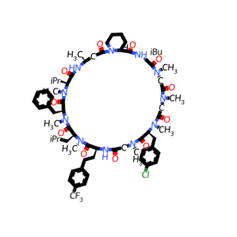 CC[C@H](C)[C@@H]1NC(=O)[C@@H]2CCCCN2C(=O)C[C@@H](C)NC(=O)[C@H](C(C)C)N(C)C(=O)[C@H](Cc2ccccc2)N(C)C(=O)[C@H](CC(C)C)N(C)C(=O)[C@H](CCc2ccc(C(F)(F)F)cc2)NC(=O)CN(C)C(=O)[C@H](Cc2ccc(Cl)cc2)N(C)C(=O)CN(C)C(=O)CN(C)C1=O